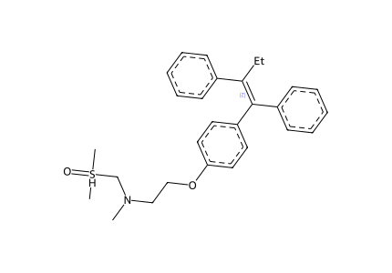 CC/C(=C(\c1ccccc1)c1ccc(OCCN(C)C[SH](C)(C)=O)cc1)c1ccccc1